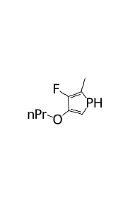 CCCOc1c[pH]c(C)c1F